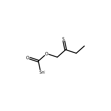 CCC(=S)CO[C](=O)[Sn]